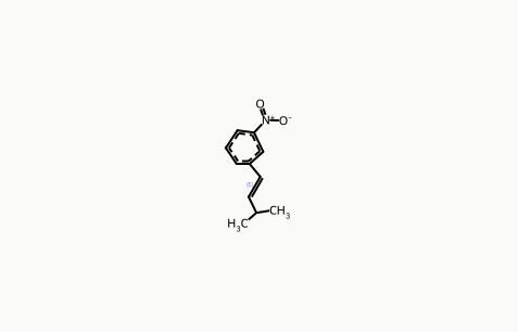 CC(C)/C=C/c1cccc([N+](=O)[O-])c1